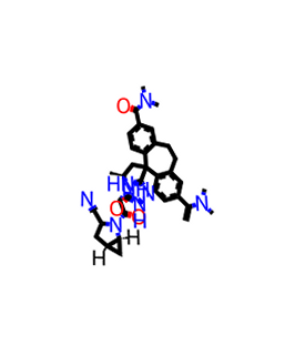 C=C(c1ccc2c(c1)CCc1cc(C(=O)N(C)C)ccc1C2(C[C@H](C)NCC(=O)N1C(C#N)C[C@@H]2C[C@@H]21)c1n[nH]c(=O)[nH]1)N(C)C